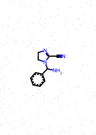 N#CC1=NCCN1C(N)c1ccccc1